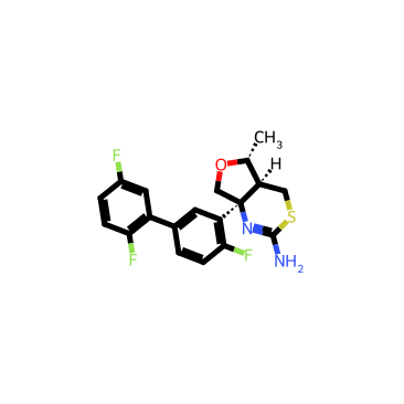 C[C@H]1OC[C@]2(c3cc(-c4cc(F)ccc4F)ccc3F)N=C(N)SC[C@H]12